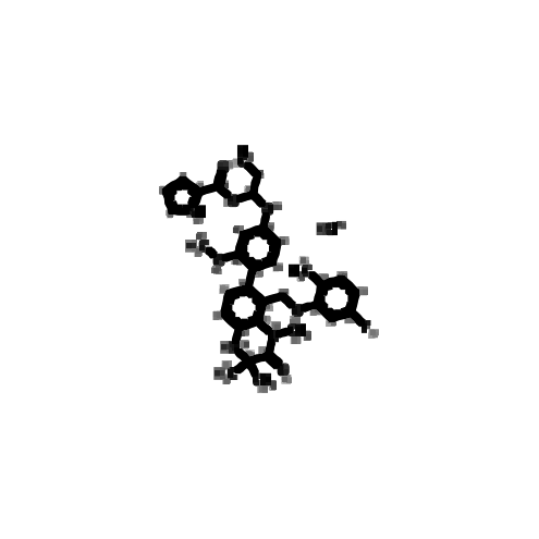 CCC(OC(=O)c1ccc[nH]1)Oc1ccc(-c2ccc3c(c2COc2cc(F)ccc2C)N(C)C(=O)C(C)(C)N3)c(OC)c1.Cl